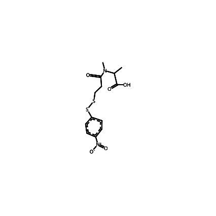 CC(C(=O)O)N(C)C(=O)CCSSc1ccc([N+](=O)[O-])cc1